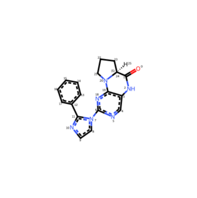 O=C1Nc2cnc(-n3ccnc3-c3ccccc3)nc2N2CCC[C@@H]12